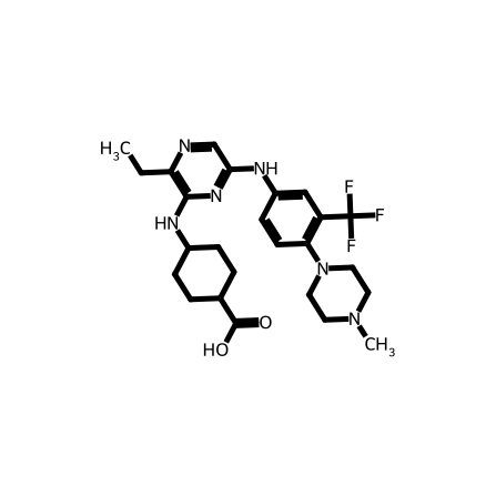 CCc1ncc(Nc2ccc(N3CCN(C)CC3)c(C(F)(F)F)c2)nc1NC1CCC(C(=O)O)CC1